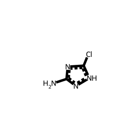 Nc1n[nH]c(Cl)n1